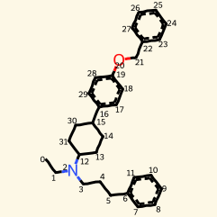 CCN(CCCc1ccccc1)C1CCC(c2ccc(OCc3ccccc3)cc2)CC1